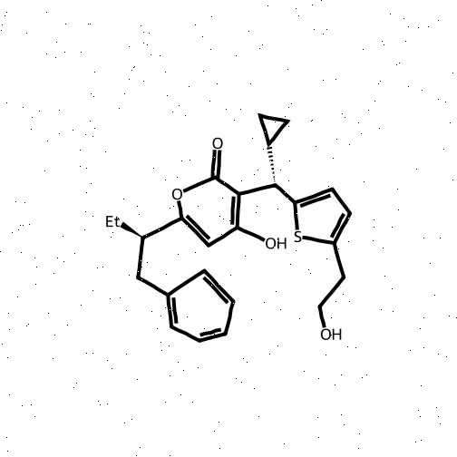 CC[C@H](Cc1ccccc1)c1cc(O)c([C@@H](c2ccc(CCO)s2)C2CC2)c(=O)o1